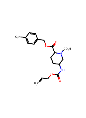 C=CCOC(=O)NC1CCC(C(=O)OCc2ccc([N+](=O)[O-])cc2)N(C(=O)O)C1